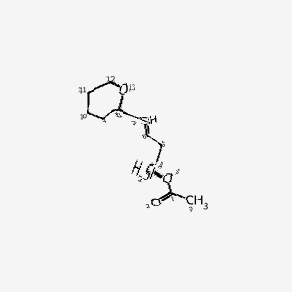 CC(=O)O[SiH2]CC=[SiH]C1CCCCO1